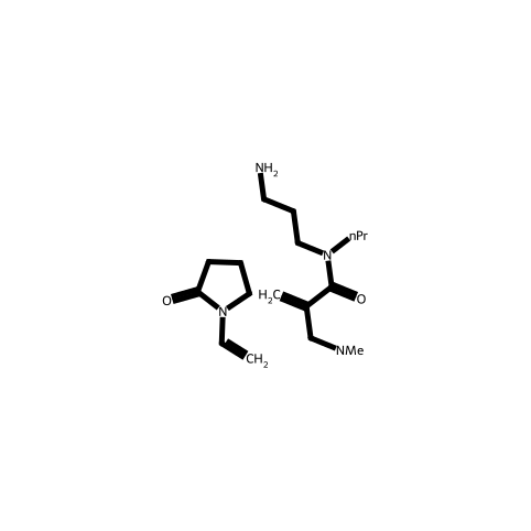 C=C(CNC)C(=O)N(CCC)CCCN.C=CN1CCCC1=O